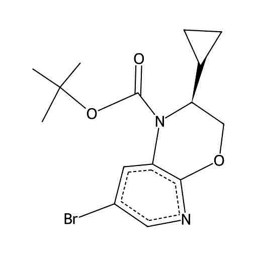 CC(C)(C)OC(=O)N1c2cc(Br)cnc2OC[C@@H]1C1CC1